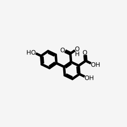 O=C(O)c1c(O)ccc(-c2ccc(O)cc2)c1C(=O)O